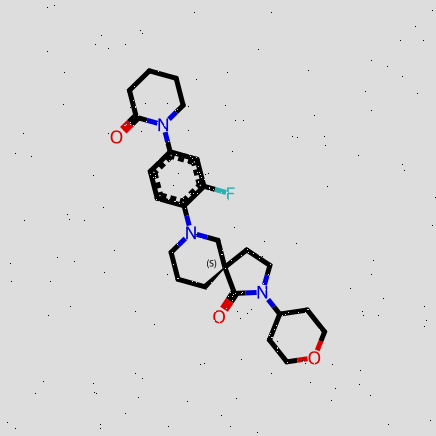 O=C1CCCCN1c1ccc(N2CCC[C@]3(CCN(C4CCOCC4)C3=O)C2)c(F)c1